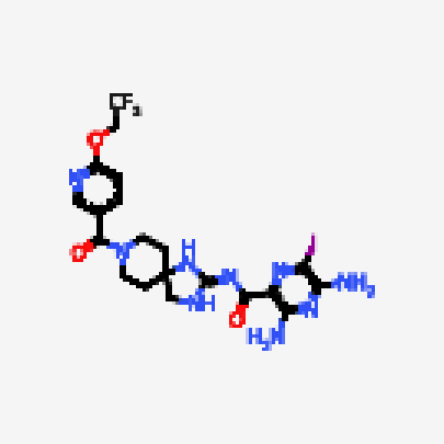 Nc1nc(N)c(C(=O)/N=C2\NCC3(CCN(C(=O)c4ccc(OCC(F)(F)F)nc4)CC3)N2)nc1I